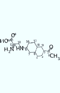 CC(=O)C1CCC2CC(NC[C@H](N)C(=O)O)CCC2C1